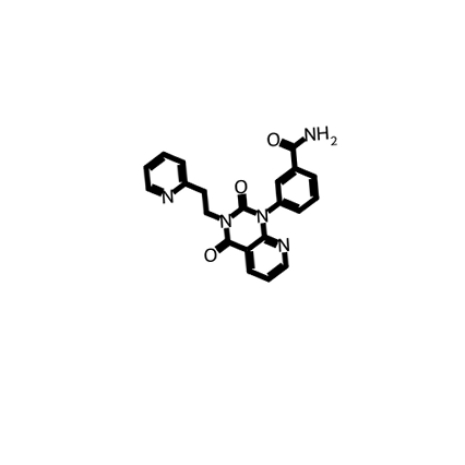 NC(=O)c1cccc(-n2c(=O)n(CCc3ccccn3)c(=O)c3cccnc32)c1